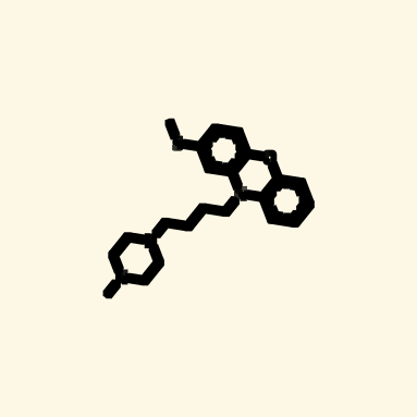 CSc1ccc2c(c1)N(CCCCN1CCN(C)CC1)c1ccccc1O2